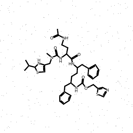 CC(=O)NCCC(NC(=O)N(C)CC1=CSC(C(C)C)N1)C(=O)NC(CCC(Cc1ccccc1)NC(=O)OCc1cncs1)Cc1ccccc1